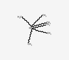 CCCCCCCCCCCCC(CCCCCCCCCCC)(CCCCCCCCCCCC)NC(CCCCCCCCCCC)(CCCCCCCCCCCC)CCCCCCCCCCCC